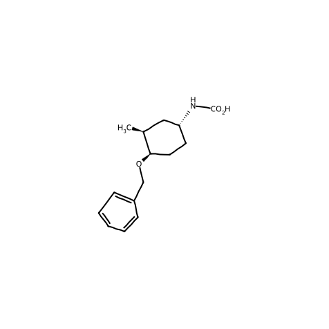 C[C@H]1C[C@H](NC(=O)O)CC[C@H]1OCc1ccccc1